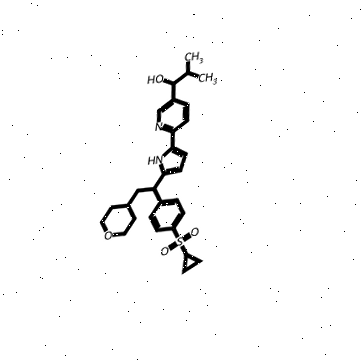 CC(C)C(O)c1ccc(-c2ccc(C(CC3CCOCC3)c3ccc(S(=O)(=O)C4CC4)cc3)[nH]2)nc1